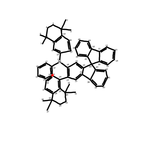 CC1(C)CCC(C)(C)c2cc(N(c3ccccc3)c3cc4c(cc3-c3cccc5c3C(C)(C)CCC5(C)C)-c3ccccc3C43c4ccccc4-c4ccccc43)ccc21